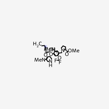 C=C/C=C\C[C@@H](OC1=C(NC)CNCC1)C(C)Oc1cc(OC(F)F)c(CN2CCC[C@H]2C(=O)OC)cc1NC